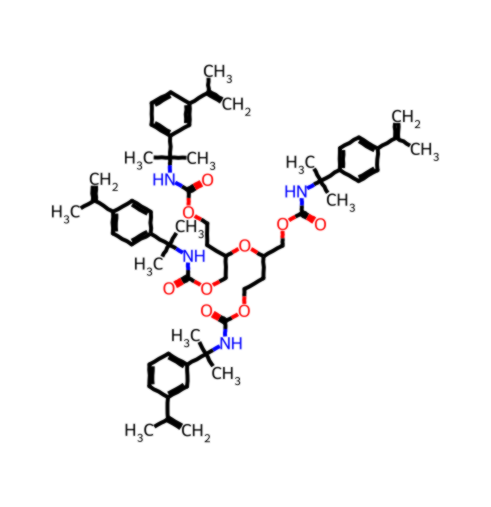 C=C(C)c1ccc(C(C)(C)NC(=O)OCC(CCOC(=O)NC(C)(C)c2cccc(C(=C)C)c2)OC(CCOC(=O)NC(C)(C)c2cccc(C(=C)C)c2)COC(=O)NC(C)(C)c2ccc(C(=C)C)cc2)cc1